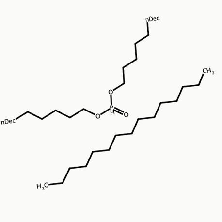 CCCCCCCCCCCCCCC.CCCCCCCCCCCCCCCO[PH](=O)OCCCCCCCCCCCCCCC